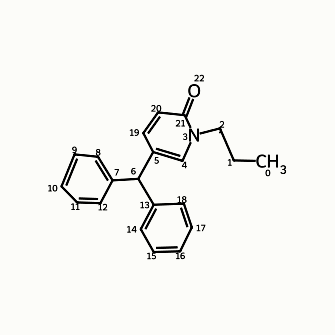 CC[CH]n1cc(C(c2ccccc2)c2ccccc2)ccc1=O